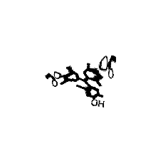 C=CC(=O)Oc1cc(C)c(C(c2cc(C)c(OC(=O)C=C)c(C)c2)c2cc(C)c(O)cc2C)cc1C